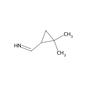 CC1(C)CC1C=N